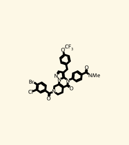 CNC(=O)c1ccc(-n2c(=O)c3c(n4ncc(Cc5ccc(OC(F)(F)F)cc5)c24)CN(C(=O)c2ccc(Br)c(Cl)c2)CC3)cc1